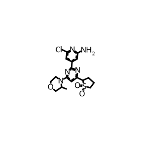 CC1COCCN1c1cc(C2CCCS2(=O)=O)nc(-c2cc(N)nc(Cl)c2)n1